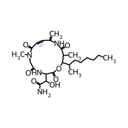 C=C1/C=C\C(=O)N(C)CC(=O)NC(C(O)C(N)=O)C(=O)OC(C(C)CCCCCC)C(C)C(=O)N1